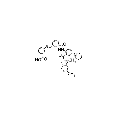 Cc1ccc2cc(C(=O)c3cc(N4CCCCC4)ccc3NC(=O)c3cccc(CSc4cccc(C(=O)O)c4)c3)n(C)c2c1